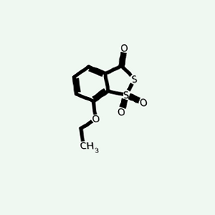 CCOc1cccc2c1S(=O)(=O)SC2=O